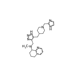 CN(Cc1nn[nH]c1CC1CCN(Cc2ncc[nH]2)CC1)C1CCCc2cccnc21